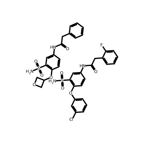 NS(=O)(=O)c1cc(NC(=O)Cc2ccccc2)ccc1OC1COC1.NS(=O)(=O)c1cc(NC(=O)Cc2ccccc2F)ccc1Oc1cccc(Cl)c1